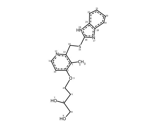 Cc1c(OCCC(O)CO)ccnc1CSc1nc2ccccc2[nH]1